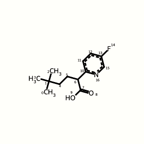 CC(C)(C)CCC(C(=O)O)c1ccc(F)cn1